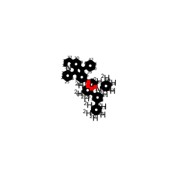 [2H]c1c([2H])c([2H])c(-c2ccc(N(c3ccc(-c4ccc5c(-c6ccccc6)c6c(ccc7cccnc76)c(-c6ccccc6)c5c4)cc3)c3c([2H])c([2H])c([2H])c([2H])c3[2H])c(-c3c([2H])c([2H])c([2H])c([2H])c3[2H])c2)c([2H])c1[2H]